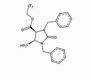 O=C(OCC(F)(F)F)[C@@H]1[C@H](C(=O)O)N(Cc2ccccc2)C(=O)N1Cc1ccccc1